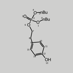 CCCCOP(=O)(OCCCC)OCCc1ccc(O)cc1